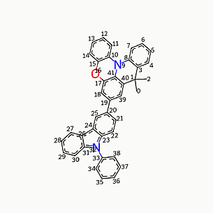 CC1(C)c2ccccc2N2c3ccccc3Oc3cc(-c4ccc5c(c4)c4ccccc4n5-c4ccccc4)cc1c32